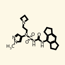 Cn1cc(N(CCN2CCC2)S(=O)(=O)NC(=O)Nc2c3c(cc4c2CCC4)CCC3)cn1